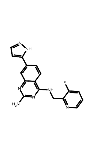 Nc1nc(NCc2ncccc2F)c2ccc(-c3ccn[nH]3)cc2n1